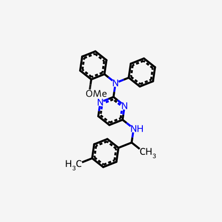 COc1ccccc1N(c1ccccc1)c1nccc(NC(C)c2ccc(C)cc2)n1